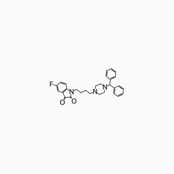 O=C1C(=O)N(CCCCN2CCN(C(c3ccccc3)c3ccccc3)CC2)c2ccc(F)cc21